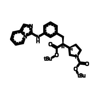 CC(C)(C)OC(=O)[C@@H](Cc1cccc(Nc2ncc3ccccn23)c1)[C@H]1CCN(C(=O)OC(C)(C)C)C1